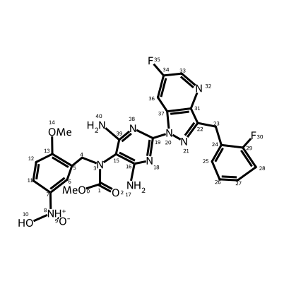 COC(=O)N(Cc1cc([NH+]([O-])O)ccc1OC)c1c(N)nc(-n2nc(Cc3ccccc3F)c3ncc(F)cc32)nc1N